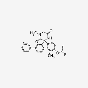 Cc1cc(C2(c3cccc(-c4cccnc4)c3)NC(=O)CN(C)C2=O)ccc1OC(F)F